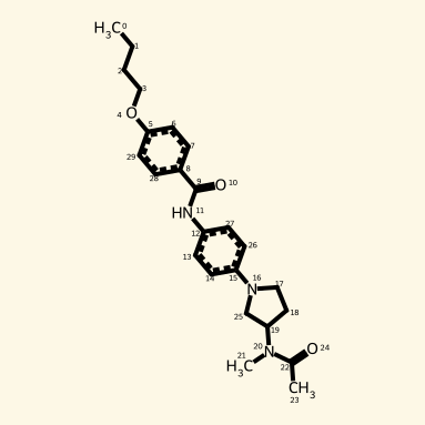 CCCCOc1ccc(C(=O)Nc2ccc(N3CCC(N(C)C(C)=O)C3)cc2)cc1